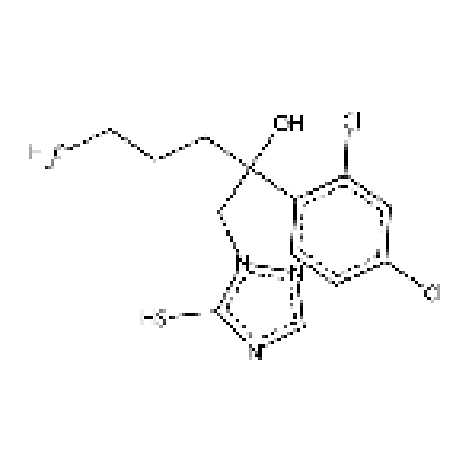 CCCCC(O)(Cn1ncnc1S)c1ccc(Cl)cc1Cl